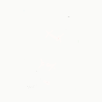 COC(=O)COc1c(Cl)ccc(P(=O)(c2ccc(F)cc2)c2ccc(F)cc2)c1-c1c(P(=O)(c2ccc(F)cc2)c2ccc(F)cc2)ccc(Cl)c1OC1CCCCC1